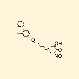 O=NC1CN(CCCCCOCc2ccc(-c3ccccc3)c(F)c2)C[C@H](O)C1=O